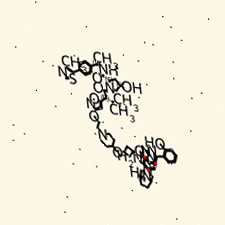 Cc1ncsc1-c1ccc([C@H](C)NC(=O)[C@@H]2C[C@@H](O)CN2C(=O)[C@@H](c2cc(OCCN3CCC(OC4CC(Oc5cc(N6C7CC[C@@H]6CN(c6cc(-c8ccccc8O)nnc6N)C7)ccn5)C4)CC3)no2)C(C)C)cc1